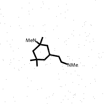 CNCCC1CC(C)(C)CC(C)(NC)C1